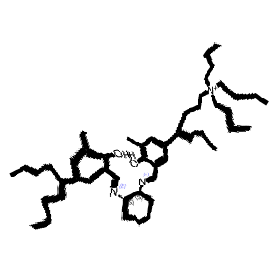 CCCCC(CCCC)c1cc(C)c(O)c(/C=N/[C@H]2CCCC[C@@H]2/N=C/c2cc(C(CCC)CCC[N+](CCCC)(CCCC)CCCC)cc(C)c2O)c1